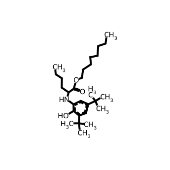 CCCCCCCCOC(=O)C(CCCC)Nc1cc(C(C)(C)C)cc(C(C)(C)C)c1O